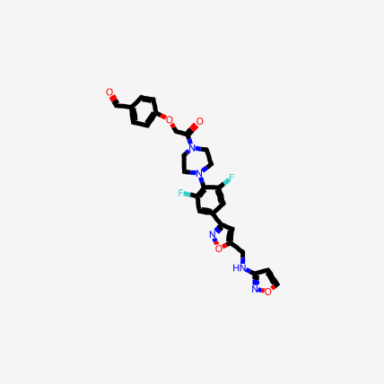 O=Cc1ccc(OCC(=O)N2CCN(c3c(F)cc(-c4cc(CNc5ccon5)on4)cc3F)CC2)cc1